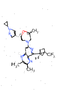 Cc1nc2cc(N3C[C@H](C)O[C@@H](c4cnn(C5CC5)c4)C3)nc([C@@H]3CC4(C(F)(F)F)CC3C4)c2nc1C